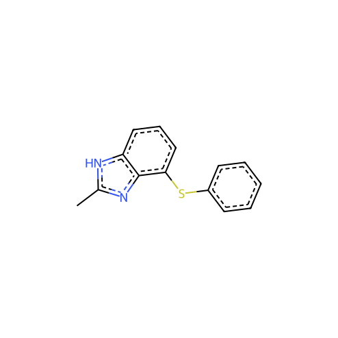 Cc1nc2c(Sc3ccccc3)cccc2[nH]1